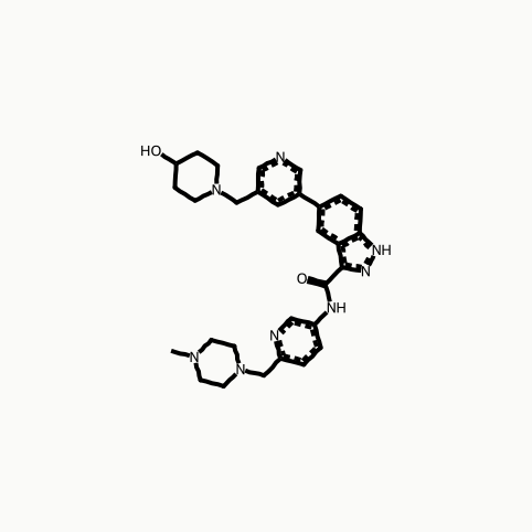 CN1CCN(Cc2ccc(NC(=O)c3n[nH]c4ccc(-c5cncc(CN6CCC(O)CC6)c5)cc34)cn2)CC1